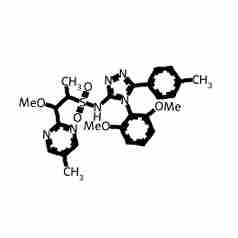 COc1cccc(OC)c1-n1c(NS(=O)(=O)C(C)C(OC)c2ncc(C)cn2)nnc1-c1ccc(C)cc1